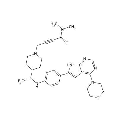 CN(C)C(=O)C#CCN1CCC([C@H](Nc2ccc(-c3cc4c(N5CCOCC5)ncnc4[nH]3)cc2)C(F)(F)F)CC1